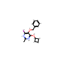 Cc1nc(I)c(OCc2ccccc2)c(OC2CCC2)n1